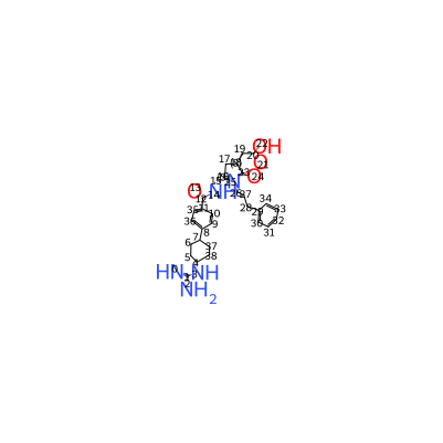 N=C(N)NC1CCC(c2ccc(C(=O)NC[C@@H]3C[C@@H](CC(=O)O)C(=O)N3CCCc3ccccc3)cc2)CC1